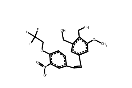 COc1cc(/C=C\c2ccc(OCC(F)(F)F)c([N+](=O)[O-])c2)cc(CO)c1CO